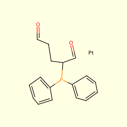 O=CCCC(C=O)P(c1ccccc1)c1ccccc1.[Pt]